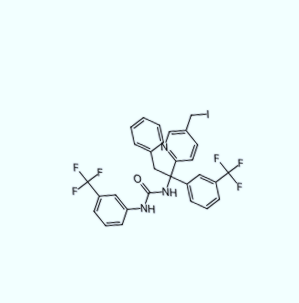 O=C(Nc1cccc(C(F)(F)F)c1)NC(Cc1ccccc1)(c1cccc(C(F)(F)F)c1)c1ccc(CI)cn1